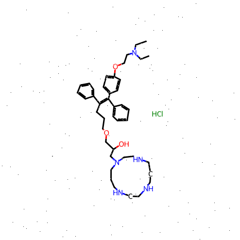 CCN(CC)CCOc1ccc(C(=C(CCCOCC(O)CN2CCCNCCNCCCNCC2)c2ccccc2)c2ccccc2)cc1.Cl